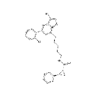 O=C(NCCCCNc1cc(-c2ccccc2Cl)nc2c(Br)cnn12)[C@@H]1C[C@H]1c1ccccc1